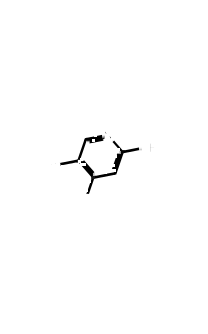 FC(F)(F)c1cc(I)c(Br)cn1